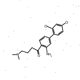 CN(C)CCCC(=O)c1ccc(-c2ccc(Cl)cc2Cl)cc1N